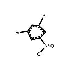 O=[N+]([O-])c1cc(Br)[c]c(Br)c1